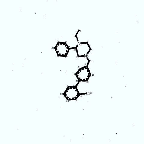 CCN1CCN(Cc2ccc(-c3ccccc3Cl)cc2)CC1c1ccccc1